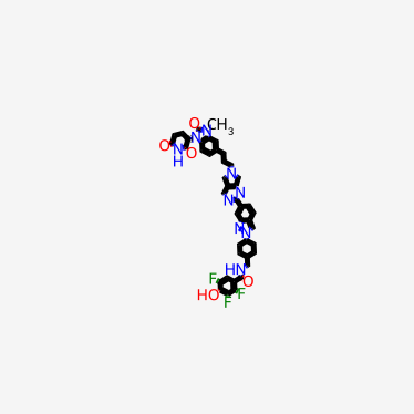 Cn1c(=O)n([C@@H]2CCC(=O)NC2=O)c2ccc(CCCN3Cc4cnc(-c5ccc6cn(C7CCC(CNC(=O)c8cc(F)c(O)c(F)c8F)CC7)nc6c5)nc4C3)cc21